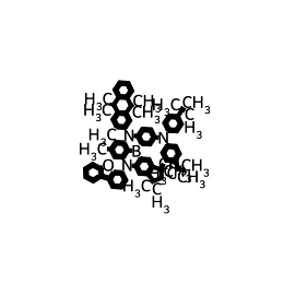 Cc1cc2c3c(c1)N(c1cccc4c1oc1ccccc14)c1cc4c(cc1B3c1cc(N(c3ccc(C(C)(C)C)cc3)c3ccc(C(C)(C)C)cc3)ccc1N2c1cc2c(cc1C)C(C)(C)c1ccccc1C2(C)C)C(C)(C)CC4(C)C